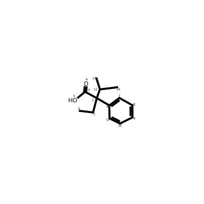 CCC(C(=O)O)(c1ccccc1)C(C)C